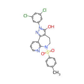 Cc1ccc(S(=O)(=O)N2CCc3c(nn(-c4cc(Cl)cc(Cl)c4)c3O)-c3cccnc32)cc1